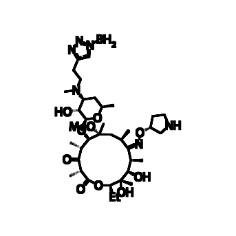 Bn1cc(CCN(C)[C@H]2C[C@@H](C)O[C@@H](O[C@@H]3[C@@H](C)C(=O)[C@@H](C)C(=O)O[C@H](CC)[C@@](C)(O)[C@H](O)[C@H](C)/C(=N/O[C@@H]4CCNC4)[C@H](C)C[C@@]3(C)OC)[C@@H]2O)nn1